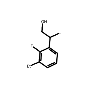 [CH2]C(CO)c1cccc(CC)c1F